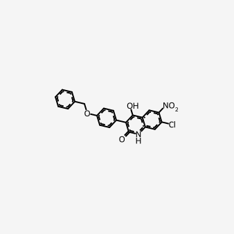 O=c1[nH]c2cc(Cl)c([N+](=O)[O-])cc2c(O)c1-c1ccc(OCc2ccccc2)cc1